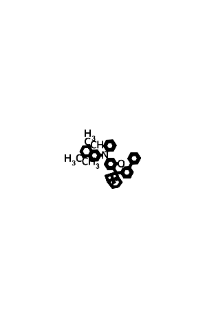 CC1(C)CCC(C)(C)c2cc(N(c3ccccc3)c3ccc4c(c3)Oc3c(-c5ccccc5)cccc3C43C4CC5CC6CC3C64C5)ccc21